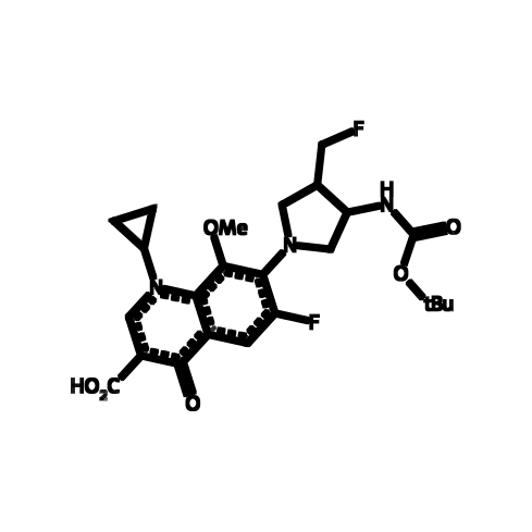 COc1c(N2CC(CF)C(NC(=O)OC(C)(C)C)C2)c(F)cc2c(=O)c(C(=O)O)cn(C3CC3)c12